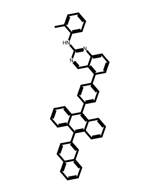 Cc1ccccc1Nc1ncc2c(-c3ccc(-c4c5ccccc5c(-c5ccc6ccccc6c5)c5ccccc45)cc3)cccc2n1